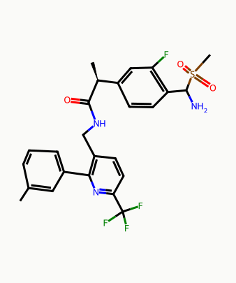 Cc1cccc(-c2nc(C(F)(F)F)ccc2CNC(=O)[C@@H](C)c2ccc(C(N)S(C)(=O)=O)c(F)c2)c1